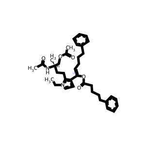 CCn1ccc(/C(=C/CCCc2ccccc2)OC(=O)CCCCc2ccccc2)c1CC[C@](C)(COC(C)=O)NC(C)=O